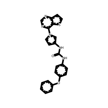 O=C(Nc1ccc(Oc2ccccc2)cc1)Nc1ccn(-c2ncnc3ccsc23)c1